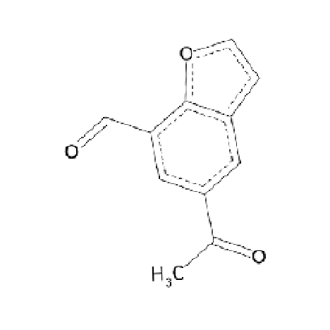 CC(=O)c1cc(C=O)c2occc2c1